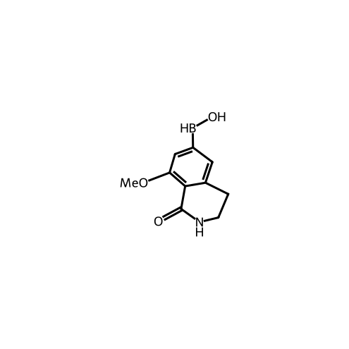 COc1cc(BO)cc2c1C(=O)NCC2